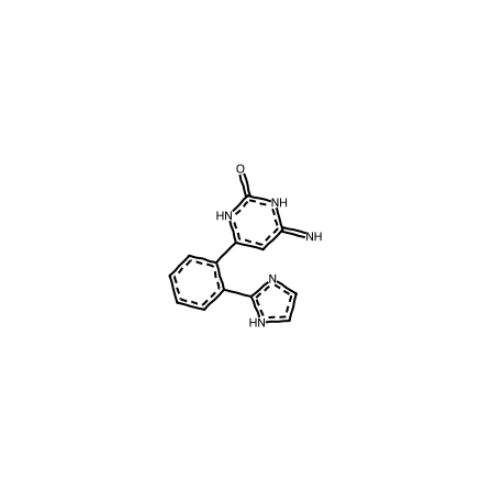 N=c1cc(-c2ccccc2-c2ncc[nH]2)[nH]c(=O)[nH]1